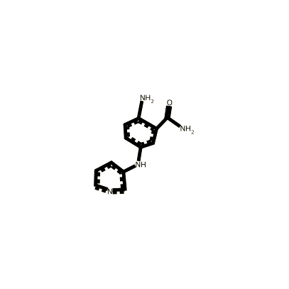 NC(=O)c1cc(Nc2cccnc2)ccc1N